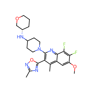 COc1cc2c(C)c(-c3nc(C)no3)c(N3CCC(N[C@H]4CCCOC4)CC3)nc2c(F)c1F